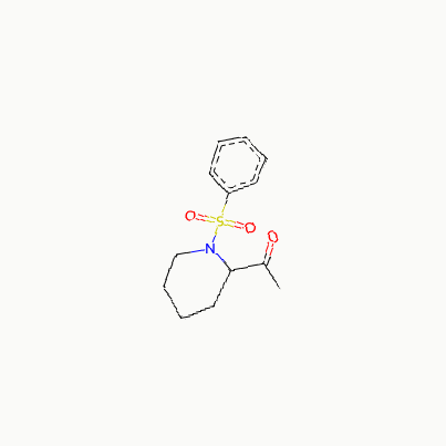 CC(=O)C1CCCCN1S(=O)(=O)c1ccccc1